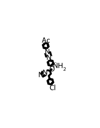 CC(=O)c1ccc(N2CCN(c3ccc(OC(CCc4ccc(Cl)cc4)Cn4ccnc4)cc3)CC2)cc1.CN